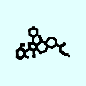 C=CC(=O)N1CCCN2C(=O)c3c(N4CCOCC4)nc(-c4c(O)cccc4F)c(Cl)c3OCC2C1